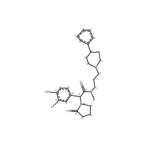 CN(CCCN1CCC(c2ccccc2)CC1)C(=O)C(c1ccc(F)c(F)c1)N1CCCC1=O